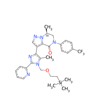 Cc1c(-c2cnn3c2C(=O)N(c2ccc(C(F)(F)F)cc2)C[C@@H]3C)nc(-c2ccccn2)n1COCC[Si](C)(C)C